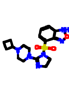 O=S(=O)(C1=CC=CC2NON=C12)N1CCN=C1N1CCN(C2CCC2)CC1